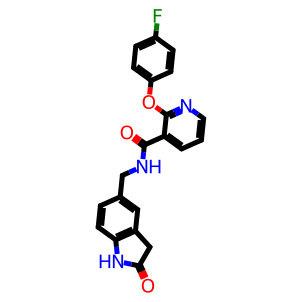 O=C1Cc2cc(CNC(=O)c3cccnc3Oc3ccc(F)cc3)ccc2N1